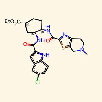 CCOC(=O)[C@@H]1CC[C@@H](NC(=O)c2nc3c(s2)CN(C)CC3)[C@@H](NC(=O)c2cc3cc(Cl)ccc3[nH]2)C1